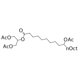 CCCCCCCCC(CCCCCCCCC(=O)OC(COC(C)=O)COC(C)=O)OC(C)=O